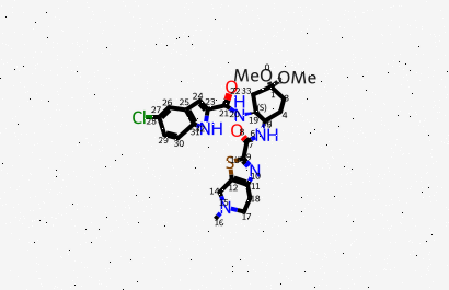 COC1(OC)CC[C@@H](NC(=O)c2nc3c(s2)CN(C)CC3)[C@@H](NC(=O)c2cc3cc(Cl)ccc3[nH]2)C1